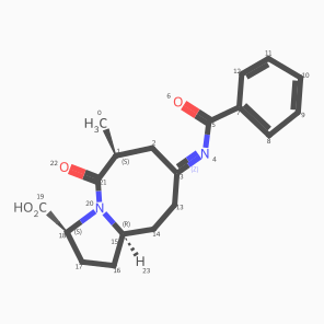 C[C@H]1C/C(=N\C(=O)c2ccccc2)CC[C@H]2CC[C@@H](C(=O)O)N2C1=O